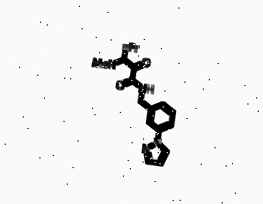 CCCC(NC)C(=O)C(=O)NCc1cccc(-n2cccn2)c1